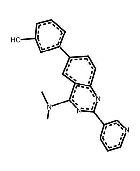 CN(C)c1nc(-c2cccnc2)nc2ccc(-c3cccc(O)c3)cc12